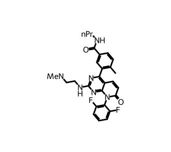 CCCNC(=O)c1ccc(C)c(-c2nc(NCCNC)nc3c2ccc(=O)n3-c2c(F)cccc2F)c1